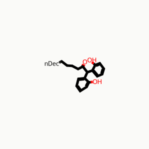 CCCCCCCCCCCCCCC(=O)C(c1ccccc1O)c1ccccc1O